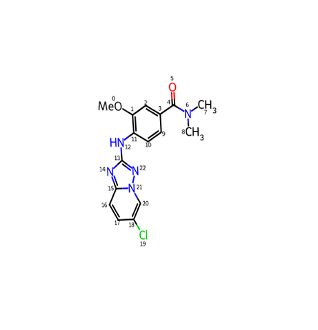 COc1cc(C(=O)N(C)C)ccc1Nc1nc2ccc(Cl)cn2n1